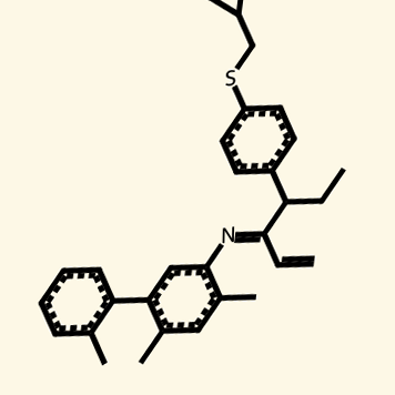 C=C/C(=N\c1cc(-c2ccccc2C)c(C)cc1C)C(CC)c1ccc(SCC2CC2)cc1